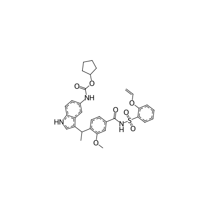 C=COc1ccccc1S(=O)(=O)NC(=O)c1ccc(C(C)c2c[nH]c3ccc(NC(=O)OC4CCCC4)cc23)c(OC)c1